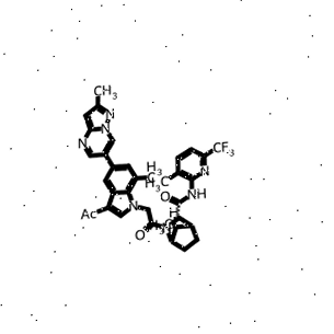 CC(=O)c1cn(CC(=O)N2C3CCC([C@@H]3C)[C@H]2C(=O)Nc2nc(C(F)(F)F)ccc2C)c2c(C)cc(-c3cnc4cc(C)nn4c3)cc12